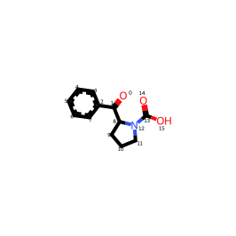 O=C(c1ccccc1)C1CCCN1C(=O)O